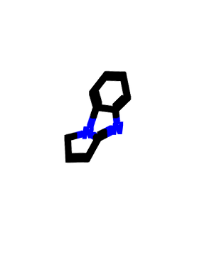 C1=Cc2nc3ccccc3n2C1